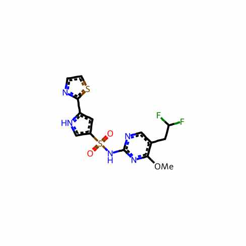 COc1nc(NS(=O)(=O)c2c[nH]c(-c3nccs3)c2)ncc1CC(F)F